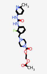 CC(=O)OCCOC(=O)N1CCN(Cc2cccc(NC(=O)Nc3ccc(C)nc3)c2F)CC1